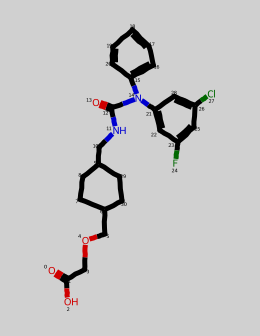 O=C(O)COCC1CCC(CNC(=O)N(c2ccccc2)c2cc(F)cc(Cl)c2)CC1